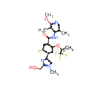 COc1ncc(C)c(NC(=O)c2cc(F)c(-c3cn(C)c(CO)n3)cc2O[C@@H](C)C(F)(F)F)c1C